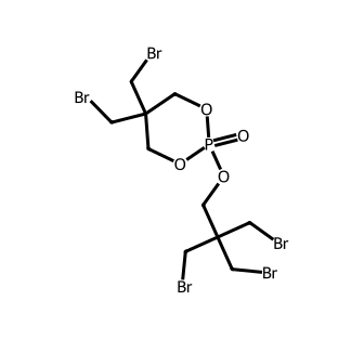 O=P1(OCC(CBr)(CBr)CBr)OCC(CBr)(CBr)CO1